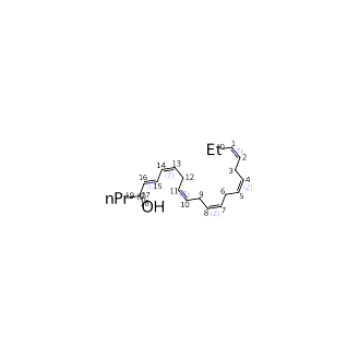 CC/C=C\C/C=C\C/C=C\C/C=C\C/C=C\C=C\[C@@H](O)CCC